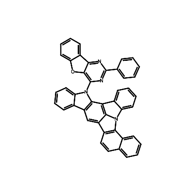 c1ccc(-c2nc(-n3c4ccccc4c4cc5c6ccc7ccccc7c6n6c7ccccc7c(c43)c56)c3oc4ccccc4c3n2)cc1